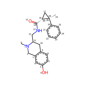 CN1Cc2cc(O)ccc2CC1CNC(=O)[C@@H]1C[C@@]1(C)c1ccccc1